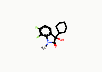 CN1C(=O)C(O)(C2CCCCC2)c2ccc(F)c(F)c21